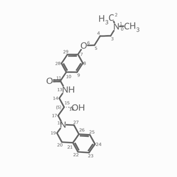 CN(C)CCCOc1ccc(C(=O)NC[C@H](O)CN2CCc3ccccc3C2)cc1